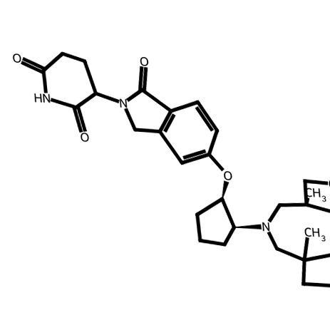 CC1(CN(CC2(C)COC2)[C@H]2CCC[C@H]2Oc2ccc3c(c2)CN(C2CCC(=O)NC2=O)C3=O)COC1